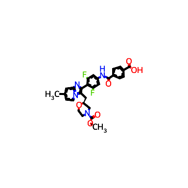 COC(=O)N1CCO[C@@H](Cc2c(-c3c(F)cc(NC(=O)c4ccc(C(=O)O)cc4)cc3F)nc3cc(C)ccn23)C1